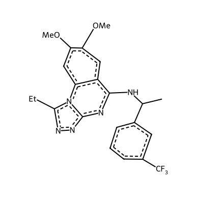 CCc1nnc2nc(NC(C)c3cccc(C(F)(F)F)c3)c3cc(OC)c(OC)cc3n12